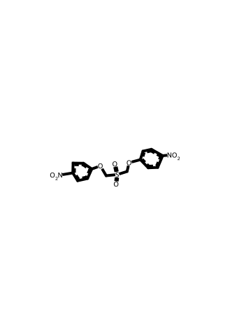 O=[N+]([O-])c1ccc(OCS(=O)(=O)COc2ccc([N+](=O)[O-])cc2)cc1